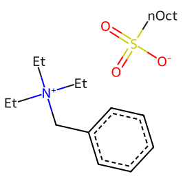 CCCCCCCCS(=O)(=O)[O-].CC[N+](CC)(CC)Cc1ccccc1